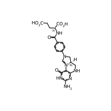 Nc1nc2c(c(=O)[nH]1)[N+]1=CN(c3ccc(C(=O)N[C@@H](CCC(=O)O)C(=O)O)cc3)C[C@H]1CN2